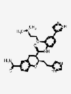 CN(C)CCOc1cc(-c2cn[nH]c2)ccc1NC(=O)C1Cc2cc(C(N)=O)ccc2OC1CCc1cnc[nH]1